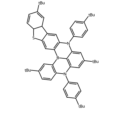 CC(C)(C)C1=CC2c3cc4c(cc3SC2C=C1)B1c2cc(C(C)(C)C)ccc2N(c2ccc(C(C)(C)C)cc2)c2cc(C(C)(C)C)cc(c21)N4c1ccc(C(C)(C)C)cc1